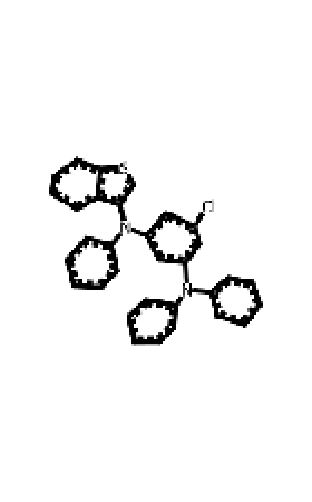 Clc1cc(N(c2ccccc2)c2ccccc2)cc(N(c2ccccc2)c2csc3ccccc23)c1